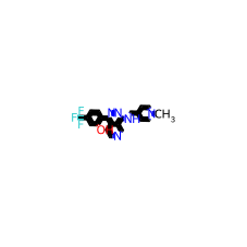 CN1CCC(CNc2nnc(-c3ccc(C(F)(F)F)cc3O)c3ccncc23)CC1